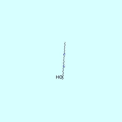 CCCCCCCC/C=C/CCCCCCC/C=C/CCCCCCC(O)CC